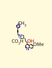 COc1ccc2nccc(C(O)CC[C@@H]3CCN(CC#Cc4ccn(C)c4)C[C@@H]3C(=O)O)c2c1